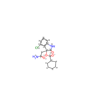 NC(=O)CC1(OC(=O)C2CCCCC2)C(=O)Nc2cccc(Cl)c21